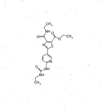 CCNC(=O)Nc1ccc(-c2nc(C(=O)NCC)c(C(=O)OCC)s2)cn1